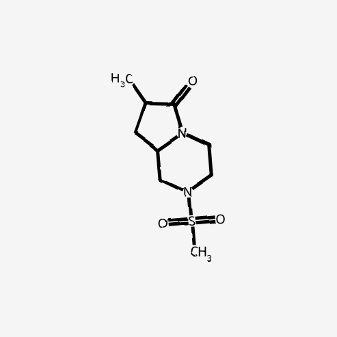 CC1CC2CN(S(C)(=O)=O)CCN2C1=O